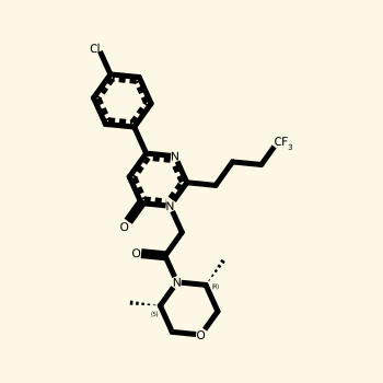 C[C@@H]1COC[C@H](C)N1C(=O)Cn1c(CCCC(F)(F)F)nc(-c2ccc(Cl)cc2)cc1=O